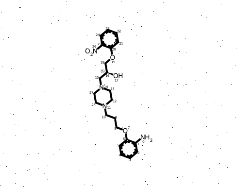 Nc1ccccc1OCCCN1CCN(C[C@H](O)COc2ccccc2[N+](=O)[O-])CC1